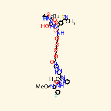 COCCN1C[C@@H](NC(=O)Nc2c(C)c(-c3cnc(N4CCN(C(=O)CCOCCOCCOCCOCCNC(=O)C[C@H](NC(=O)[C@@H]5C[C@@H](O)CN5C(=O)[C@@H](NC(=O)C5(F)CC5)C(C)(C)C)c5ccc(-c6scnc6C)cc5)CC4)nc3)nn2-c2ccccc2)[C@H](c2cccc(F)c2)C1